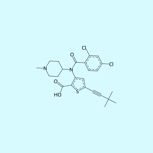 CN1CCC(N(C(=O)c2ccc(Cl)cc2Cl)c2cc(C#CC(C)(C)C)sc2C(=O)O)CC1